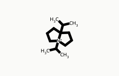 CC(C)C12CCC[N+]1(C(C)C)CCC2